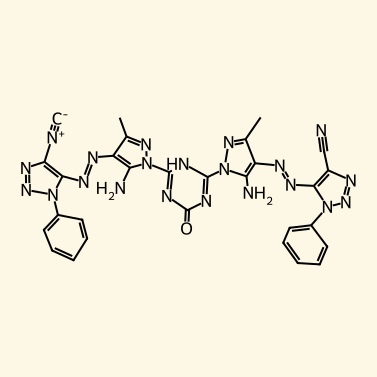 [C-]#[N+]c1nnn(-c2ccccc2)c1N=Nc1c(C)nn(-c2nc(=O)nc(-n3nc(C)c(N=Nc4c(C#N)nnn4-c4ccccc4)c3N)[nH]2)c1N